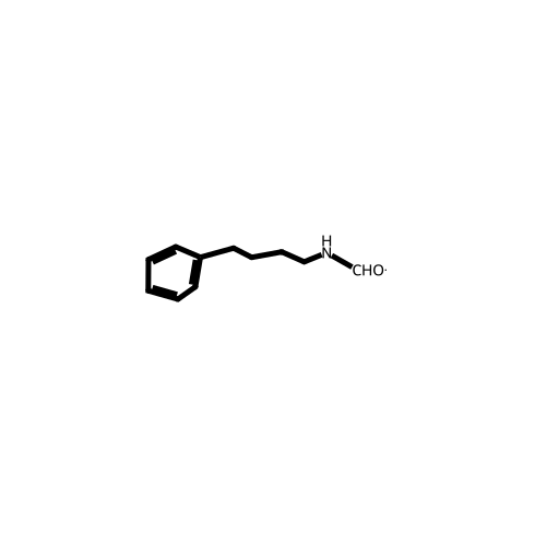 O=[C]NCCCCc1ccccc1